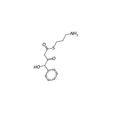 NCCCSC(=O)CC(=O)C(O)c1ccccc1